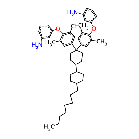 CCCCCCCCC1CCC(C2CCC(c3cc(C)c(Oc4cccc(N)c4)c(C)c3)(c3cc(C)c(Oc4cccc(N)c4)c(C)c3)CC2)CC1